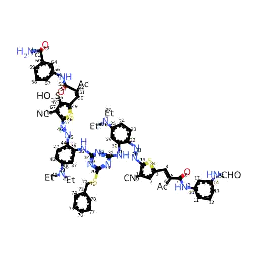 [C-]#[N+]c1cc(/C=C(\C(C)=O)C(=O)Nc2cccc(NC=O)c2)sc1/N=N/c1ccc(N(CC)CC)cc1Nc1nc(Nc2cc(N(CC)CC)ccc2/N=N/c2sc(/C=C(/C(C)=O)C(=O)Nc3cccc(C(N)=O)c3)c(S(=O)(=O)O)c2C#N)nc(SCc2ccccc2)n1